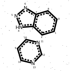 c1ccc2[nH]nnc2c1.c1cncnc1